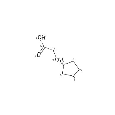 C1CCCC1.O=C(O)CO